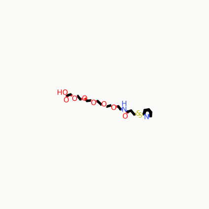 O=C(O)COCCOCCOCCOCCOCCNC(=O)CCSSc1ccccn1